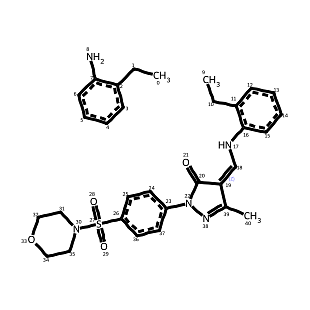 CCc1ccccc1N.CCc1ccccc1N/C=C1\C(=O)N(c2ccc(S(=O)(=O)N3CCOCC3)cc2)N=C1C